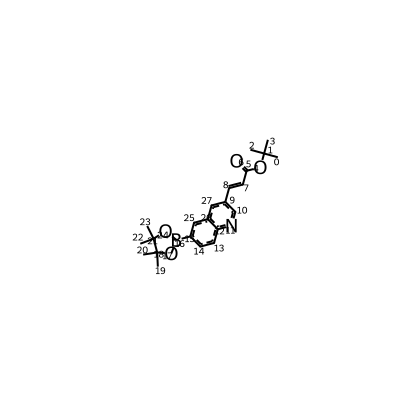 CC(C)(C)OC(=O)/C=C/c1cnc2ccc(B3OC(C)(C)C(C)(C)O3)cc2c1